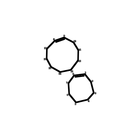 C1=CCCCCCC1.C1=CCCCCCCCC1